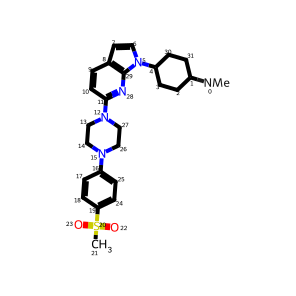 CNC1CCC(n2ccc3ccc(N4CCN(c5ccc(S(C)(=O)=O)cc5)CC4)nc32)CC1